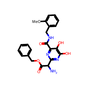 COc1ccccc1CNC(=O)c1nc(C(N)C(=O)OCc2ccccc2)nc(O)c1O